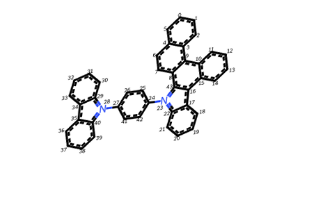 c1ccc2c(c1)ccc1c2c2ccccc2c2c3ccccc3n(-c3ccc(-n4c5ccccc5c5ccccc54)cc3)c12